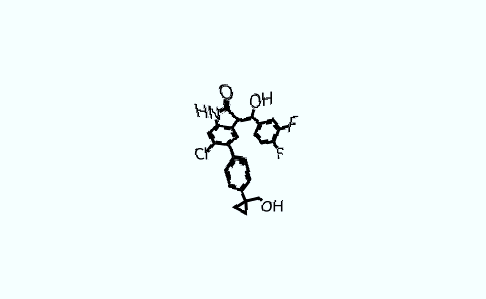 O=C1Nc2cc(Cl)c(-c3ccc(C4(CO)CC4)cc3)cc2/C1=C(/O)c1ccc(F)c(F)c1